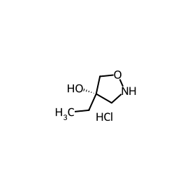 CC[C@]1(O)CNOC1.Cl